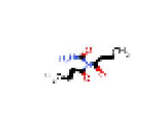 CC=CC(=O)N(C(N)=O)C(=O)C=CC